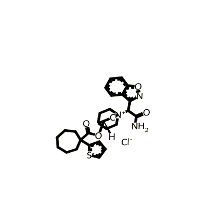 NC(=O)C(c1noc2ccccc12)[N+]12CCC(CC1)[C@@H](OC(=O)C1(c3cccs3)CCCCCC1)C2.[Cl-]